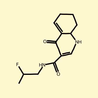 CC(F)CNC(=O)C1=CNC2CCCC=C2C1=O